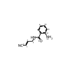 N#CC=CCNC(=O)c1ccccc1N